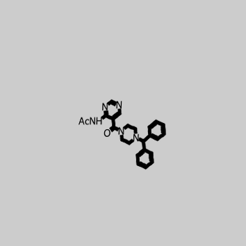 CC(=O)Nc1ncncc1C(=O)N1CCN(C(c2ccccc2)c2ccccc2)CC1